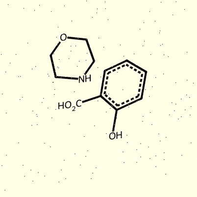 C1COCCN1.O=C(O)c1ccccc1O